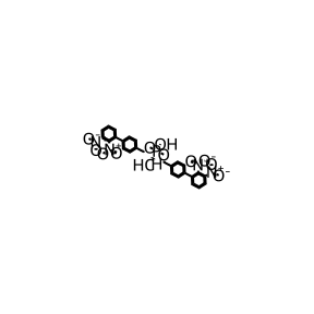 C#C[PH](O)(OCc1ccc(-c2cccc([N+](=O)[O-])c2[N+](=O)[O-])cc1)OCc1ccc(-c2cccc([N+](=O)[O-])c2[N+](=O)[O-])cc1